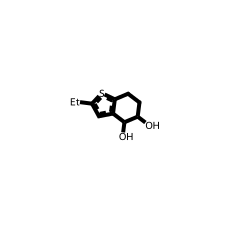 CCc1cc2c(s1)CCC(O)C2O